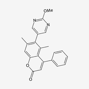 COc1ncc(-c2c(C)cc3oc(=O)cc(-c4ccccc4)c3c2C)cn1